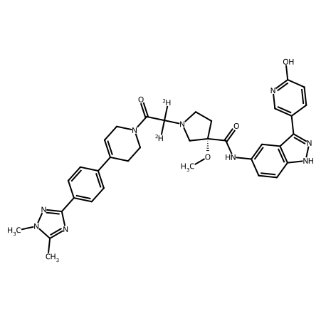 [2H]C([2H])(C(=O)N1CC=C(c2ccc(-c3nc(C)n(C)n3)cc2)CC1)N1CC[C@@](OC)(C(=O)Nc2ccc3[nH]nc(-c4ccc(O)nc4)c3c2)C1